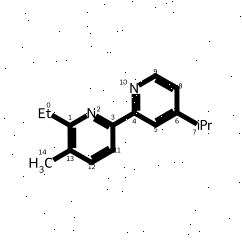 CCc1nc(-c2cc(C(C)C)ccn2)ccc1C